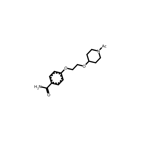 CC(=O)N1CCC(OCCOc2ccc(C(N)=O)cc2)CC1